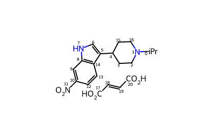 CC(C)N1CCC(c2c[nH]c3cc([N+](=O)[O-])ccc23)CC1.O=C(O)C=CC(=O)O